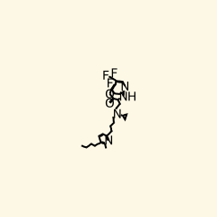 CCCCc1ccc(CCCCN(CCC2N/C3=N/C=C(C(F)(F)F)\C=C(\CC3)OC2=O)C2CC2)nc1C